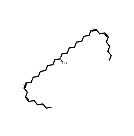 CCCCC/C=C\C/C=C\CCCCCCCCB(O)CCCCCCCC/C=C\C/C=C\CCCCC